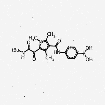 Cc1c(C(=O)Nc2ccc(B(O)O)cc2)c(C)n(C)c1C(=O)C(=O)NC(C)(C)C